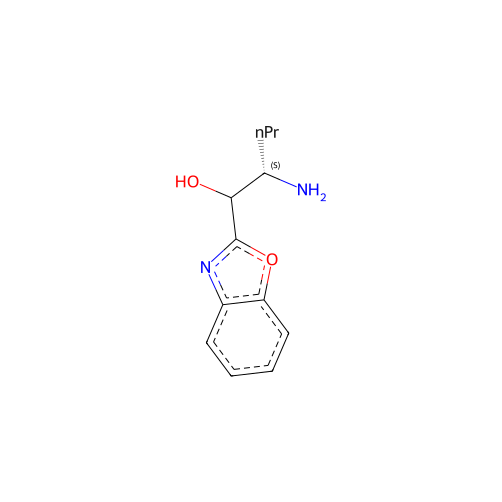 CCC[C@H](N)C(O)c1nc2ccccc2o1